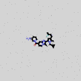 C=C(F)/C=C\c1cc(-c2nc3cc(C(=O)N4CCC[C@@H](N)C4)ccn3c2C)n(CC2CC2)c1C